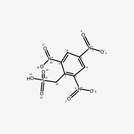 O=[N+]([O-])c1cc([N+](=O)[O-])c(CS(=O)(=O)O)c([N+](=O)[O-])c1